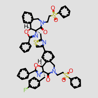 O=C1N(CCS(=O)(=O)c2ccccc2)Cc2ccc(-c3csc(C[C@]45N=C(c6ccccc6)O[C@H]4c4ccccc4CN(CCS(=O)(=O)c4ccccc4)C5=O)n3)cc2[C@@H]2OC(c3ccccc3)=N[C@]12Cc1ccc(F)cc1